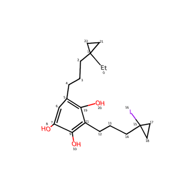 CCC1(CCCc2cc(O)c(O)c(CCCC3(I)CC3)c2O)CC1